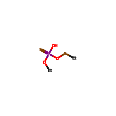 CCOP(O)(=S)OSCC